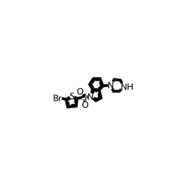 O=S(=O)(c1ccc(Br)s1)n1ccc2c(N3CCNCC3)cccc21